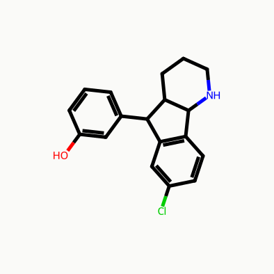 Oc1cccc(C2c3cc(Cl)ccc3C3NCCCC32)c1